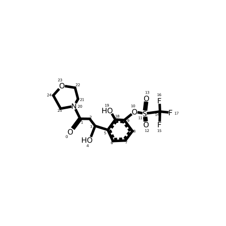 O=C(CC(O)c1cccc(OS(=O)(=O)C(F)(F)F)c1O)N1CCOCC1